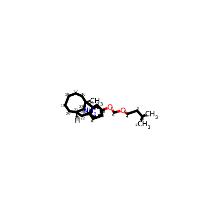 CC(C)CCOCOc1ccc2c(c1)[C@@]1(C)CCCCC[C@@H](C2)[C@@H]1N